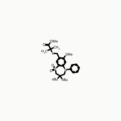 CCCCC1(CCCC)CN(c2ccccc2)c2cc(SC)c(CSC(C)(C)C(=O)OC)cc2S(=O)(=O)C1